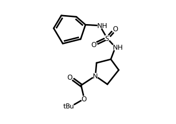 CC(C)(C)OC(=O)N1CCC(NS(=O)(=O)Nc2ccccc2)C1